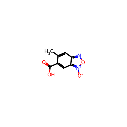 Cc1cc2no[n+]([O-])c2cc1C(=O)O